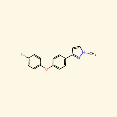 Cn1ccc(-c2ccc(Oc3ccc(F)cc3)cc2)n1